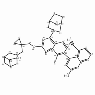 C#Cc1cccc2cc(O)cc(-c3c(F)cc4c(N5CC6CCC(C5)N6)nc(OCC5(CN6CC7CC(C6)C7O)CC5)nc4c3F)c12